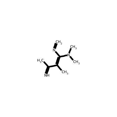 C=N/C(=C(/C)C(C)=N)N(C)C